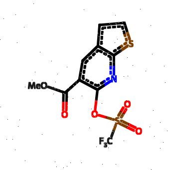 COC(=O)c1cc2ccsc2nc1OS(=O)(=O)C(F)(F)F